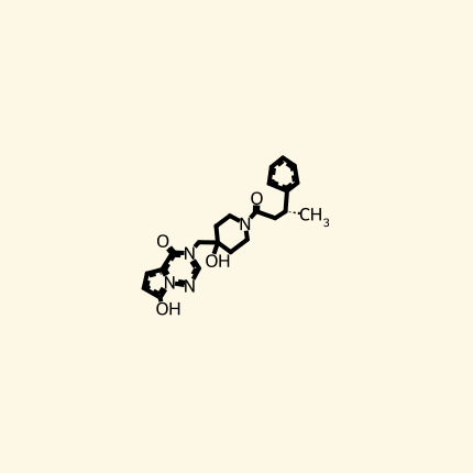 C[C@H](CC(=O)N1CCC(O)(Cn2cnn3c(O)ccc3c2=O)CC1)c1ccccc1